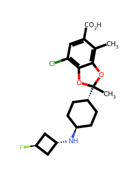 Cc1c(C(=O)O)cc(Cl)c2c1OC(C)([C@H]1CC[C@H](N[C@H]3C[C@H](F)C3)CC1)O2